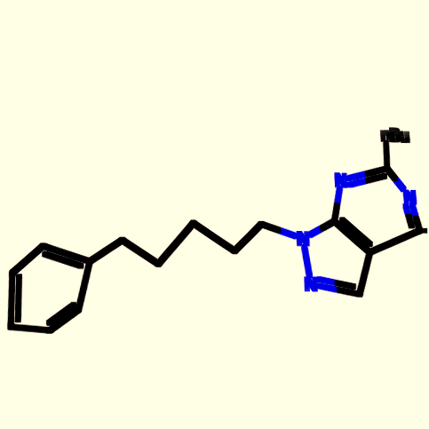 CCCCc1n[c]c2cnn(CCCCCc3ccccc3)c2n1